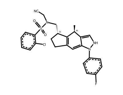 C[C@H]1C2=CNN(c3ccc(F)cc3)C2=CC2=C1[C@@H](CN(CC#N)S(=O)(=O)c1ccccc1Cl)CC2